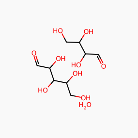 O.O=CC(O)C(O)C(O)CO.O=CC(O)C(O)CO